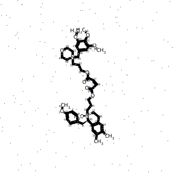 COc1ccc(C[C@@H]2c3cc(C)c(C)cc3CC[N@@+]2(C)CCCOC(=O)/C=C\C(=O)OCCC[N+]2(Cc3cc(OC)c(OC)c(OC)c3)CCOCC2)cc1